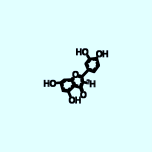 [2H]c1c(-c2ccc(O)c(O)c2)oc2cc(O)cc(O)c2c1=O